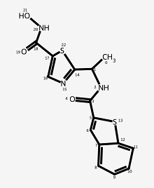 CC(NC(=O)c1cc2ccccc2s1)c1ncc(C(=O)NO)s1